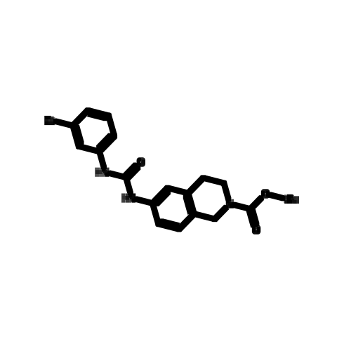 CCc1cccc(NC(=O)Nc2ccc3c(c2)CCN(C(=O)OC(C)(C)C)C3)c1